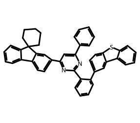 c1ccc(-c2cc(-c3ccc4c(c3)C3(CCCCC3)c3ccccc3-4)nc(-c3ccccc3-c3ccc4sc5ccccc5c4c3)n2)cc1